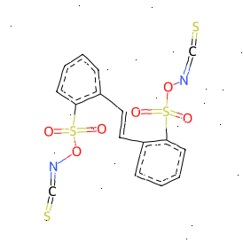 O=S(=O)(ON=C=S)c1ccccc1C=Cc1ccccc1S(=O)(=O)ON=C=S